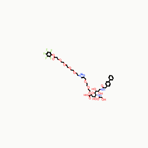 O=C(Cc1ccc(-c2ccccc2)cc1)NC[C@@H](O)[C@@H](O)[C@@H]1O[C@](OCCOCCOCc2cn(CCOCCOCCOCCOCCC(=O)Oc3c(F)c(F)c(F)c(F)c3F)nn2)(C(=O)O)C[C@H](O)[C@H]1NC(=O)CO